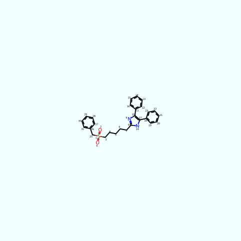 O=S(=O)(CCCCCC1=NC(c2ccccc2)=C(c2ccccc2)[N]1)Cc1ccccc1